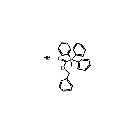 Br.CP(C(=O)OCc1ccccc1)(c1ccccc1)(c1ccccc1)c1ccccc1